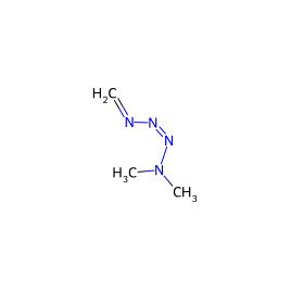 C=N/N=N\N(C)C